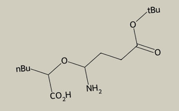 CCCCC(OC(N)CCC(=O)OC(C)(C)C)C(=O)O